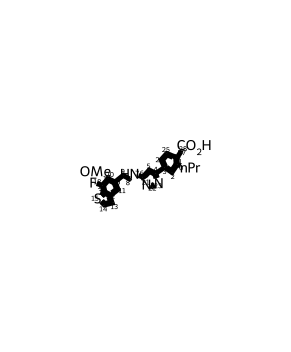 CCCc1cc(-c2cc(NCCc3cc4ccsc4c(F)c3OC)ncn2)ccc1CC(=O)O